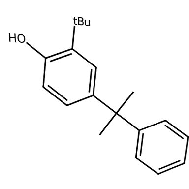 CC(C)(C)c1cc(C(C)(C)c2ccccc2)ccc1O